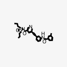 CCCCS(=O)(CCCC)=NC(=O)c1cncc(C#Cc2cccc(NC(=O)c3cccc(C)c3)c2)c1